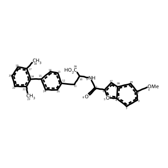 COc1ccc2oc(C(=O)NC(Cc3ccc(-c4c(C)cccc4C)cc3)C(=O)O)cc2c1